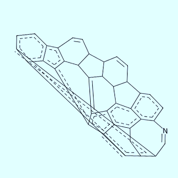 C1=CC2C3C4=c5c6c7c8c(ccc9c8c8c6c6c%10c(c(c%11ccc%12c1c3c(c56)c%12c%11%10)/C=N\9)C8)C1C=CC2C4C71